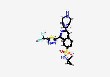 CC1(NS(=O)(=O)c2ccc3cc(N4C5CCC4CNC5)nc(-c4nnc(C(F)F)s4)c3c2)CC1